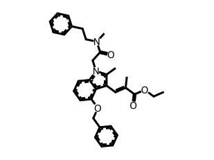 CCOC(=O)C(C)=Cc1c(C)n(CC(=O)N(C)CCc2ccccc2)c2cccc(OCc3ccccc3)c12